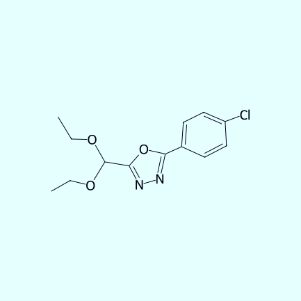 CCOC(OCC)c1nnc(-c2ccc(Cl)cc2)o1